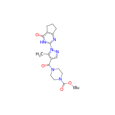 Cc1c(C(=O)N2CCN(C(=O)OC(C)(C)C)CC2)cnn1-c1nc2c(c(=O)[nH]1)CCC2